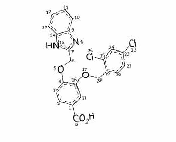 O=C(O)c1ccc(OCc2nc3ccccc3[nH]2)c(OCc2ccc(Cl)cc2Cl)c1